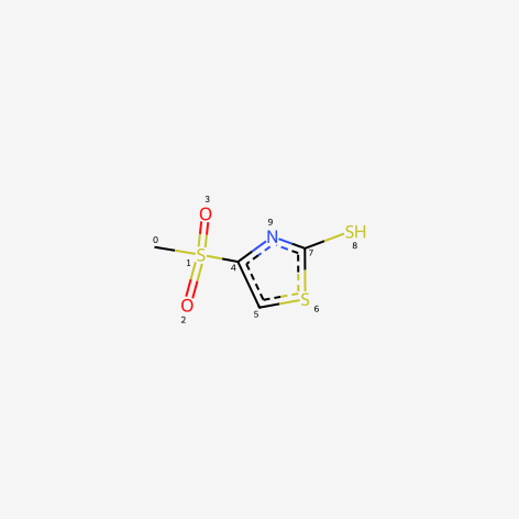 CS(=O)(=O)c1csc(S)n1